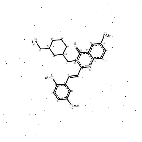 COc1ccc(OC)c(C=Cc2nc3ccc(OC)cc3c(=O)n2CC2CCCC(CN)C2)c1